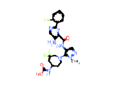 Cn1ncc(NC(=O)c2nc(-c3ccccc3F)ncc2N)c1N1CCC(NC(=O)O)CC(F)(F)C1